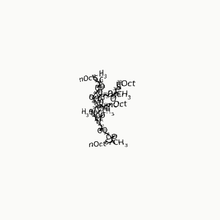 CCCCCCCCSCC(C)C(=O)OCCOC(=O)CCN(CCCN(C)CCCN(CCC(=O)OCCOC(=O)C(C)CSCCCCCCCC)CC(=O)OCCOC(=O)C(C)CSCCCCCCCC)CC(=O)OCCOC(=O)C(C)CSCCCCCCCC